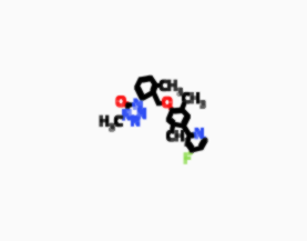 Cc1cc(-c2cc(F)ccn2)c(C)cc1OCc1c(C)cccc1-n1nnn(C)c1=O